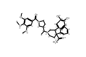 COc1cc(C(=O)N2CCC(C(C)N3CCC(C(N)=O)(c4ccccc4)C(c4ccc(Cl)c(Cl)c4)C3)C2)cc(OC)c1OC